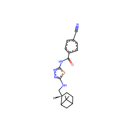 CC1(C)C2CC[C@@H](CNc3nnc(NC(=O)c4ccc(C#N)cc4)s3)C1C2